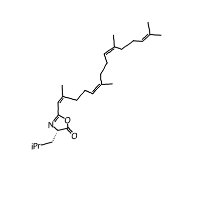 CC(C)=CCCC(C)=CCCC(C)=CCCC(C)=CC1=N[C@@H](CC(C)C)C(=O)O1